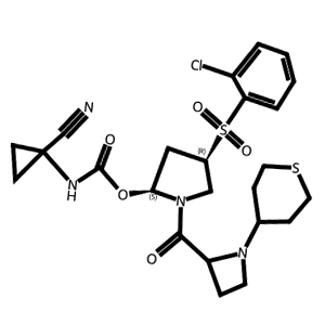 N#CC1(NC(=O)O[C@H]2C[C@@H](S(=O)(=O)c3ccccc3Cl)CN2C(=O)C2CCN2C2CCSCC2)CC1